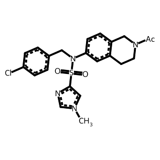 CC(=O)N1CCc2cc(N(Cc3ccc(Cl)cc3)S(=O)(=O)c3cn(C)cn3)ccc2C1